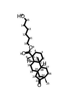 CC12CCC[C@@](C)(C(=O)OCCCCCCO)[C@H]1CCC13CC(=O)[C@@](C)(CC[C@H]12)C3